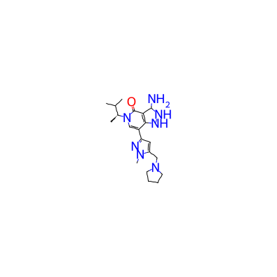 CC(C)[C@H](C)n1cc(-c2cc(CN3CCCC3)n(C)n2)c2c(c1=O)C(N)NN2